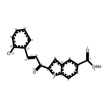 COC(=O)c1ccc2sc(C(=O)/C=C/c3ccccc3Cl)cc2c1